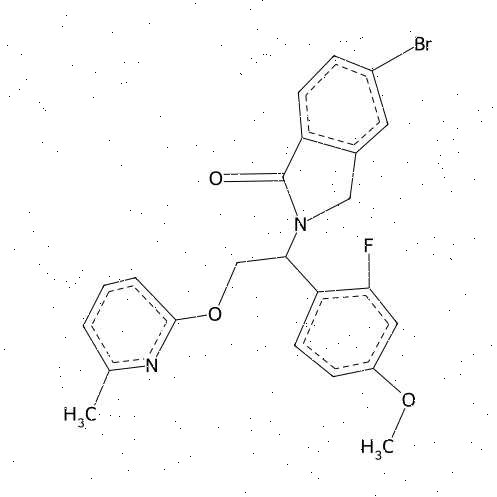 COc1ccc(C(COc2cccc(C)n2)N2Cc3cc(Br)ccc3C2=O)c(F)c1